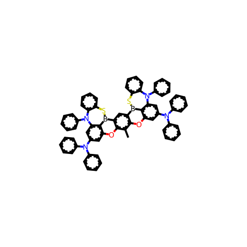 Cc1c2c(cc3c1Oc1cc(N(c4ccccc4)c4ccccc4)cc4c1B3Sc1ccccc1N4c1ccccc1)B1Sc3ccccc3N(c3ccccc3)c3cc(N(c4ccccc4)c4ccccc4)cc(c31)O2